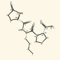 CCCC[C@H](NC(=O)[C@@H]1CCC(=O)N1)C(=O)N1CCC[C@H]1C(N)=O